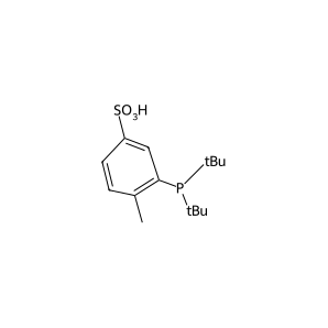 Cc1ccc(S(=O)(=O)O)cc1P(C(C)(C)C)C(C)(C)C